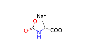 O=C1N[C@@H](C(=O)[O-])CO1.[Na+]